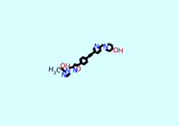 C[C@H](O)c1nccn1Cc1cc(-c2ccc(C#Cc3ccc(CN4CCC(O)CC4)nc3)cc2)on1